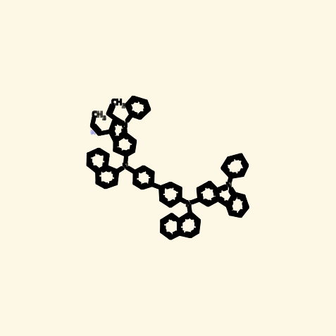 C=Cc1c(/C=C\C)c2cc(N(c3ccc(-c4ccc(N(c5ccc6c(c5)c5ccccc5n6-c5ccccc5)c5cccc6ccccc56)cc4)cc3)c3cccc4ccccc34)ccc2n1-c1ccccc1